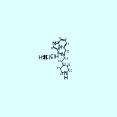 Cl.Cl.Cl.c1cc2n3c(cnc3c1)CN(CCC1CCNCC1)C2